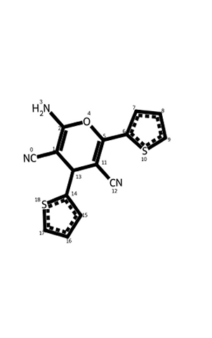 N#CC1=C(N)OC(c2cccs2)=C(C#N)C1c1cccs1